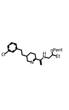 C=C(NCC(CC)CCCCC)C1=NCC(CCc2cccc(Cl)c2)CC1